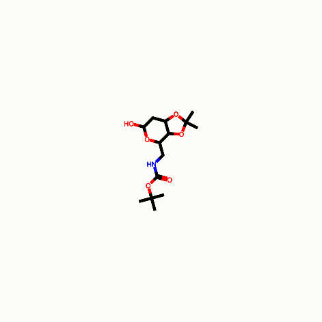 CC(C)(C)OC(=O)NCC1OC(O)CC2OC(C)(C)OC12